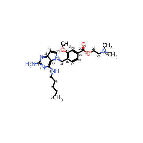 CCCCCNc1nc(N)nc2ccn(Cc3ccc(C(=O)OCCN(C)C)cc3OC)c12